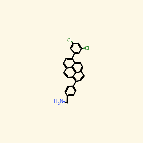 NCc1ccc(-c2ccc3ccc4c(-c5cc(Cl)cc(Cl)c5)ccc5ccc2c3c54)cc1